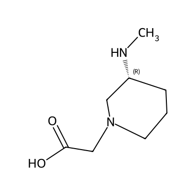 CN[C@@H]1CCCN(CC(=O)O)C1